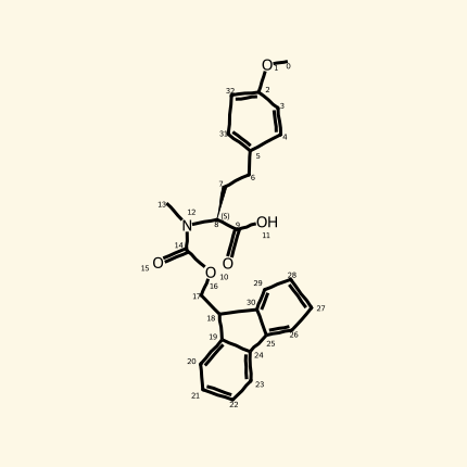 COc1ccc(CC[C@@H](C(=O)O)N(C)C(=O)OCC2c3ccccc3-c3ccccc32)cc1